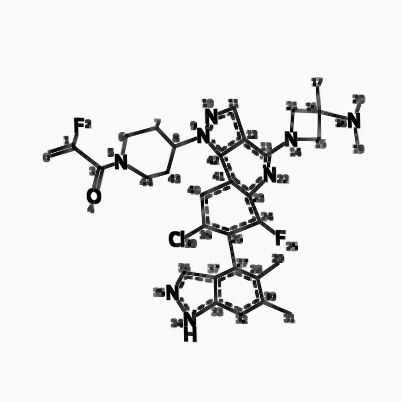 C=C(F)C(=O)N1CCC(n2ncc3c(N4CC(C)(N(C)C)C4)nc4c(F)c(-c5c(C)c(C)cc6[nH]ncc56)c(Cl)cc4c32)CC1